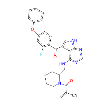 C=C(C#N)C(=O)N1CCCCC1CNc1ncnc2[nH]cc(C(=O)c3ccc(Oc4ccccc4)cc3F)c12